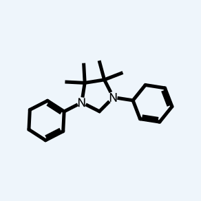 CC1(C)N(C2=CCCC=C2)CN(C2C=CC=CC2)C1(C)C